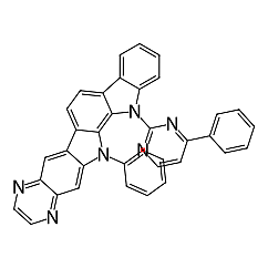 c1ccc(-c2ccnc(-n3c4ccccc4c4ccc5c6cc7nccnc7cc6n(-c6ccccc6)c5c43)n2)cc1